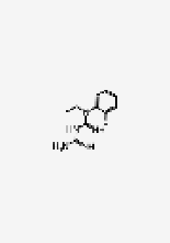 CCN(C(=N)NC(=N)N)c1ccccc1F